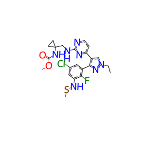 CCn1cc(-c2ccnc(NCC3(NC(=O)OC)CC3)n2)c(-c2cc(Cl)cc(NSC)c2F)n1